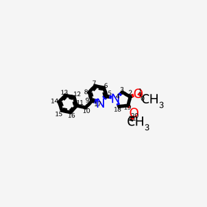 COC1CN(c2cccc(Cc3ccccc3)n2)CC1OC